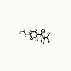 CCCc1ccc(C(=O)NC(C)C)cc1